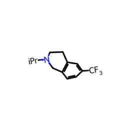 CC(C)N1CCc2cc(C(F)(F)F)ccc2C1